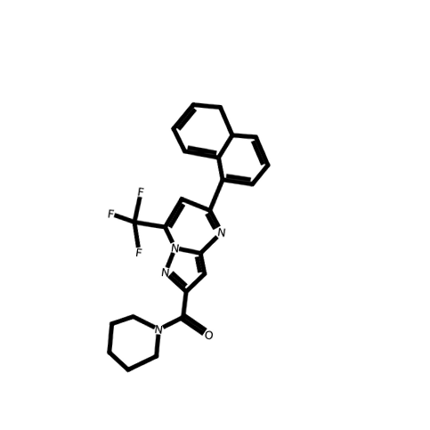 O=C(c1cc2nc(C3=CC=CC4CC=CC=C34)cc(C(F)(F)F)n2n1)N1CCCCC1